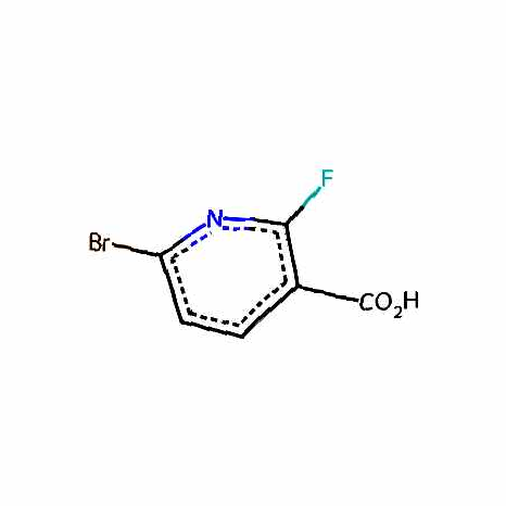 O=C(O)c1ccc(Br)nc1F